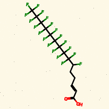 O=C(O)C=CCCC(F)C(F)(F)C(F)(F)C(F)(F)C(F)(F)C(F)(F)C(F)(F)C(F)(F)C(F)(F)C(F)(F)F